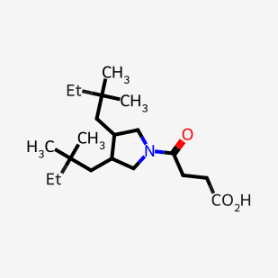 CCC(C)(C)CC1CN(C(=O)CCC(=O)O)CC1CC(C)(C)CC